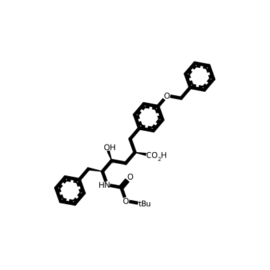 CC(C)(C)OC(=O)N[C@@H](Cc1ccccc1)[C@@H](O)C[C@@H](Cc1ccc(OCc2ccccc2)cc1)C(=O)O